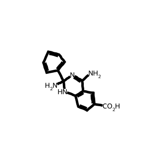 NC1=NC(N)(c2ccccc2)Nc2ccc(C(=O)O)cc21